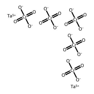 [O]=[Cr](=[O])([O-])[O-].[O]=[Cr](=[O])([O-])[O-].[O]=[Cr](=[O])([O-])[O-].[O]=[Cr](=[O])([O-])[O-].[O]=[Cr](=[O])([O-])[O-].[Ta+5].[Ta+5]